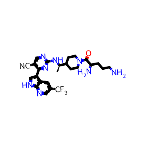 C[C@@H](Nc1ncc(C#N)c(-c2c[nH]c3ncc(C(F)(F)F)cc23)n1)C1CCN(C(=O)C(N)CCCN)CC1